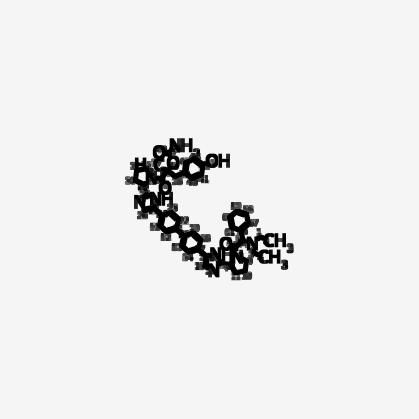 CCN(CC)[C@@H](C(=O)N1CCC[C@H]1c1ncc(-c2ccc(-c3ccc(-c4cnc([C@@H]5CCCN5C(=O)[C@](C)(Cc5ccc(O)cc5)OC(N)=O)[nH]4)cc3)cc2)[nH]1)c1ccccc1